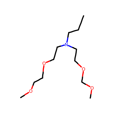 CCCN(CCOCCOC)CCOCOC